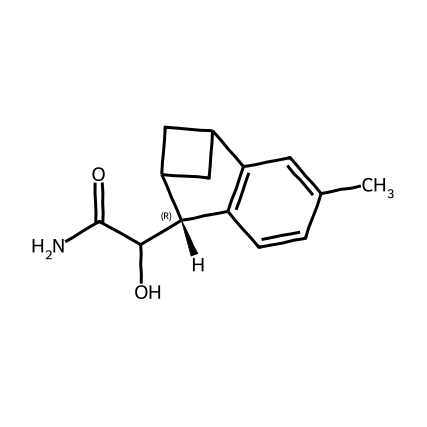 Cc1ccc2c(c1)C1CC(C1)[C@H]2C(O)C(N)=O